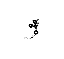 Cc1c(-c2cccc(Cl)c2F)c(-c2ccccc2)nn1C[C@H]1CC[C@@H](COCC(=O)O)CC1